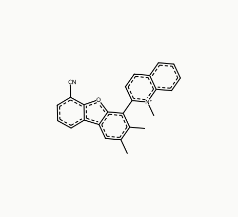 Cc1cc2c(oc3c(C#N)cccc32)c(-c2ccc3ccccc3[n+]2C)c1C